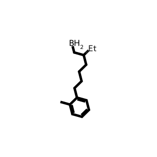 BCC(CC)CCCCc1ccccc1C